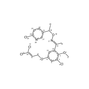 COc1c(Cl)cc(OCC=C(Cl)Cl)cc1C(C)=NOC(C)c1ccc(Cl)nc1